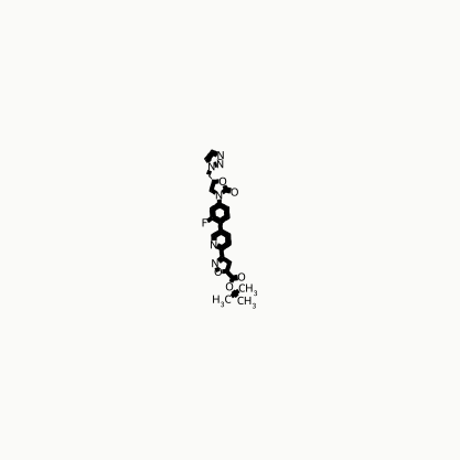 CC(C)(C)OC(=O)C1CC(c2ccc(-c3ccc(N4C[C@H](Cn5ccnn5)OC4=O)cc3F)cn2)=NO1